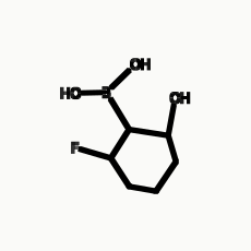 OB(O)C1C(O)CCCC1F